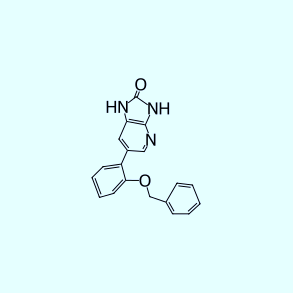 O=c1[nH]c2cc(-c3ccccc3OCc3ccccc3)cnc2[nH]1